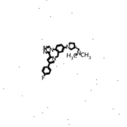 CN(C)C[C@@H]1CCN(c2ccc3c(c2)Cn2cc(-c4ccc(F)cc4)cc2-c2nncn2-3)C1